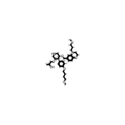 COCCCCOc1ccc([C@@H]2[C@@H](OCc3ccc4c(c3)N(CCCOC)CCO4)CNC[C@H]2OCC(C)O)cc1